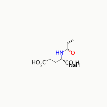 C=CC(=O)N[C@H](CCC(=O)O)C(=O)O.[NaH]